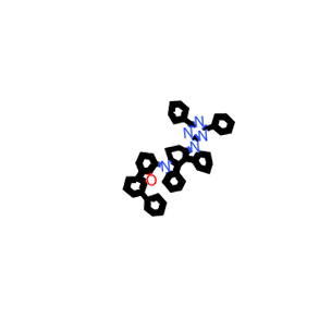 c1ccc(-c2nc(-c3ccccc3)nc(-n3c4c(c5ccccc53)-c3c(n(-c5cccc6c5oc5c(-c7ccccc7)cccc56)c5ccccc35)CC4)n2)cc1